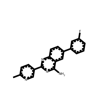 Cc1ccc(-c2nc(N)c3cc(-c4cccc(F)c4)ccc3n2)cn1